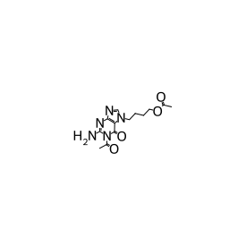 CC(=O)OCCCCn1cnc2nc(N)n(C(C)=O)c(=O)c21